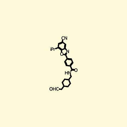 CC(C)c1cc(C#N)cc2nc(-c3ccc(C(=O)NCC4CCC(CC=O)CC4)cc3)oc12